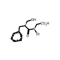 CCN(CC(=O)O)C(=O)[C@H](CO)Cc1ccccc1